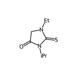 CCN1CC(=O)N(C(C)C)C1=S